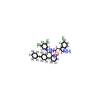 O=C(Cc1c[nH]c2ccc(F)cc12)NC(Cc1cc(F)cc(F)c1)c1ncccc1-c1ccc(-c2ccccc2)cc1